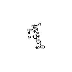 N#Cc1cc(Nc2nc(NC3CC3)c3ncc(C#N)n3n2)c(F)c(N2CCN([C@@H]3COC[C@H]3O)CC2)c1